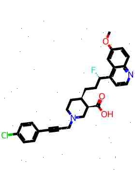 COc1ccc2nccc([C@@H](F)CC[C@@H]3CCN(CC#Cc4ccc(Cl)cc4)C[C@@H]3C(=O)O)c2c1